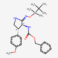 COc1ccc([C@@H]2CNC(=NO[Si](C)(C)C(C)(C)C)[C@H]2NC(=O)OCc2ccccc2)cc1